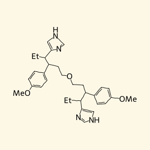 CCC(c1c[nH]cn1)C(CCOCCC(c1ccc(OC)cc1)C(CC)c1c[nH]cn1)c1ccc(OC)cc1